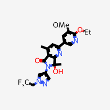 CCOc1ncc(-c2cc(C)c3c(n2)C(C)(O)N(c2cnn(CC(F)(F)F)c2)C3=O)cc1OC